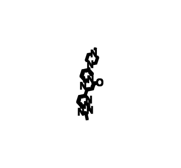 Cc1nc2ccc(-c3cc(=O)n4cc(N5CCN(C)CC5)ccc4n3)nn2n1